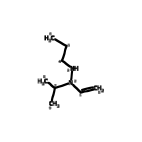 C=CN(NCCC)C(C)C